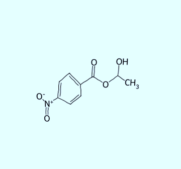 CC(O)OC(=O)c1ccc([N+](=O)[O-])cc1